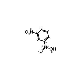 O=[N+]([O-])c1cccc([N+](=O)O)c1